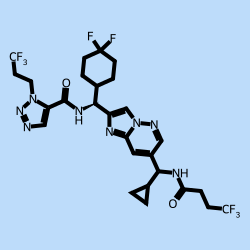 O=C(CCC(F)(F)F)NC(c1cnn2cc([C@@H](NC(=O)c3cnnn3CCC(F)(F)F)C3CCC(F)(F)CC3)nc2c1)C1CC1